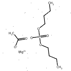 CC(=O)[O-].CCCCOP(=O)([O-])OCCCC.[Mg+2]